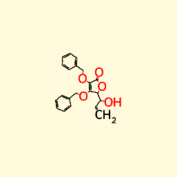 C=CC(O)C1OC(=O)C(OCc2ccccc2)=C1OCc1ccccc1